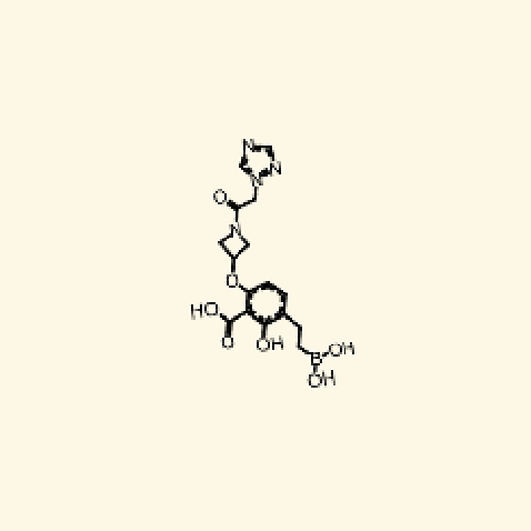 O=C(O)c1c(OC2CN(C(=O)Cn3cncn3)C2)ccc(CCB(O)O)c1O